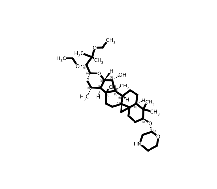 CCO[C@@H]([C@H]1C[C@@H](C)[C@H]2[C@H](O1)[C@H](O)[C@@]1(C)[C@@H]3CC[C@H]4C(C)(C)[C@@H](O[C@H]5CNCCO5)CCC45C[C@@]35CC[C@]21C)C(C)(C)OCC